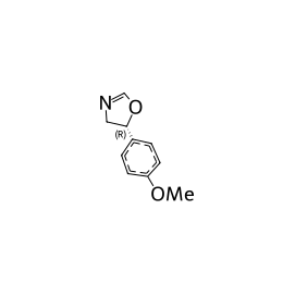 COc1ccc([C@@H]2CN=CO2)cc1